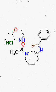 C1COCCN1.CC(=O)N1CCCCc2nc(-c3ccccc3)sc21.Cl